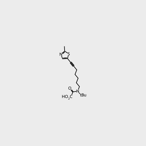 Cc1ncc(C#CCCCCCN(C(=O)C(=O)O)C(C)(C)C)s1